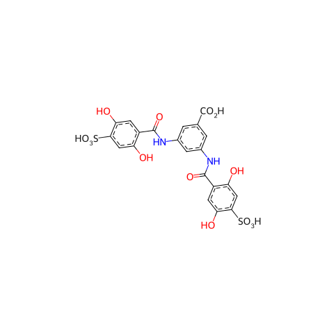 O=C(O)c1cc(NC(=O)c2cc(O)c(S(=O)(=O)O)cc2O)cc(NC(=O)c2cc(O)c(S(=O)(=O)O)cc2O)c1